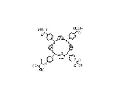 C=C(C)C(=O)Oc1ccc(-c2c3nc(c(-c4ccc(S(=O)(=O)O)cc4)c4ccc([nH]4)c(-c4ccc(S(=O)(=O)O)cc4)c4nc(c(-c5ccc(S(=O)(=O)O)cc5)c5ccc2[nH]5)C=C4)C=C3)cc1